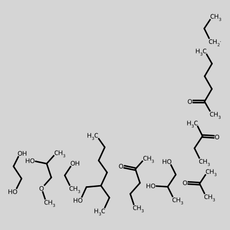 CC(C)=O.CC(O)CO.CCC(C)=O.CCCC(C)=O.CCCCC(C)=O.CCCCC(CC)CO.CCO.COCC(C)O.OCCO.[CH2]CC